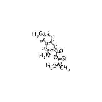 Cc1ccc2cc(C(=O)OC(=O)C(C)C)c(N)cc2c1